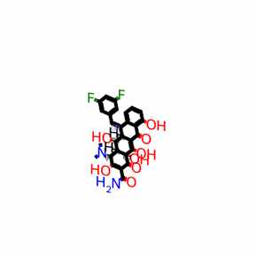 CN(C)[C@H]1C(O)=C(C(N)=O)C(=O)[C@]2(O)C(O)=C3C(=O)c4c(O)cccc4/C(=C\c4cc(F)cc(F)c4)[C@@H]3[C@@H](O)[C@H]12